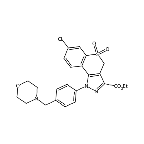 CCOC(=O)c1nn(-c2ccc(CN3CCOCC3)cc2)c2c1CS(=O)(=O)c1cc(Cl)ccc1-2